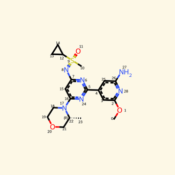 COc1cc(-c2nc(N=S(C)(=O)C3CC3)cc(N3CCOC[C@H]3C)n2)cc(N)n1